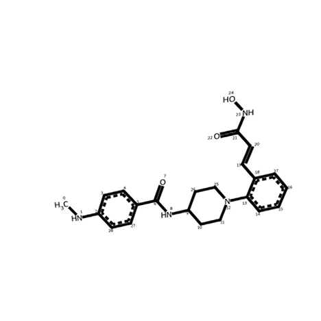 CNc1ccc(C(=O)NC2CCN(c3ccccc3/C=C/C(=O)NO)CC2)cc1